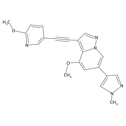 COc1ccc(C#Cc2cnn3cc(-c4cnn(C)c4)cc(OC)c23)cn1